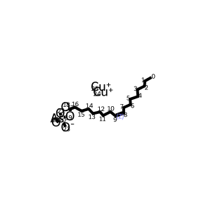 CCCCCCCC/C=C\CCCCCCCC(=O)O[As](=O)([O-])[O-].[Cu+].[Cu+]